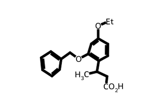 CCOc1ccc([C](C)CC(=O)O)c(OCc2ccccc2)c1